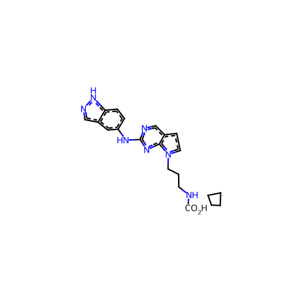 C1CCC1.O=C(O)NCCCn1ccc2cnc(Nc3ccc4[nH]ncc4c3)nc21